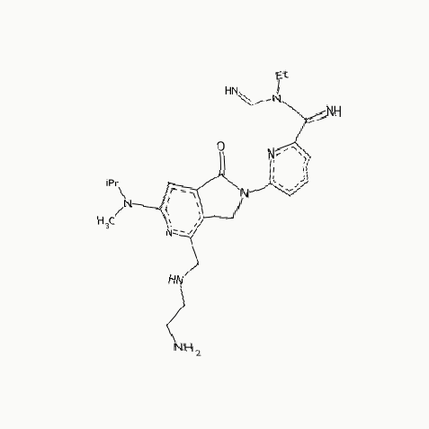 CCN(C=N)C(=N)c1cccc(N2Cc3c(cc(N(C)C(C)C)nc3CNCCN)C2=O)n1